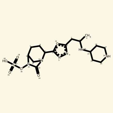 CC(Cc1nnc(C2CCC3CN2C(=O)N3OS(=O)(=O)O)o1)NC1CCNCC1